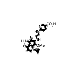 COc1c(NCCNc2ccc(C(=O)O)cn2)c(F)c(N)c2c(=O)ccn(C3CC3)c12